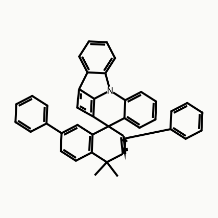 CC1(C)c2ccc(-c3ccccc3)cc2C2(c3ccccc3-n3c4ccccc4c4cccc2c43)c2cc(-c3ccccc3)ccc21